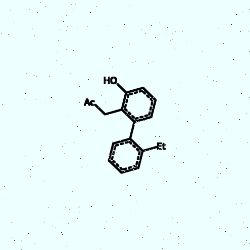 CCc1ccccc1-c1cccc(O)c1CC(C)=O